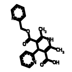 CC1=C(C(=O)O)C(c2ccccn2)C(C(=O)OCc2ccccn2)=C(C)N1